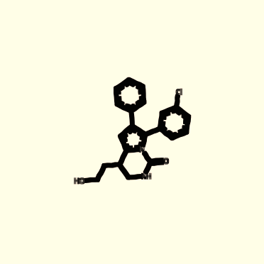 O=C1NCC(CCO)c2cc(-c3ccccc3)c(-c3cccc(Cl)c3)n21